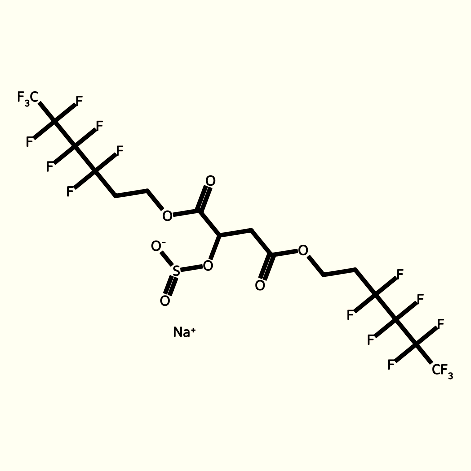 O=C(CC(OS(=O)[O-])C(=O)OCCC(F)(F)C(F)(F)C(F)(F)C(F)(F)F)OCCC(F)(F)C(F)(F)C(F)(F)C(F)(F)F.[Na+]